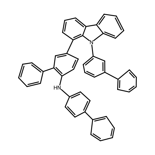 c1ccc(-c2ccc(Nc3ccc(-c4cccc5c6ccccc6n(-c6cccc(-c7ccccc7)c6)c45)cc3-c3ccccc3)cc2)cc1